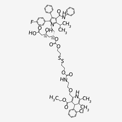 CCOC(=O)C1=C(COCCNC(=O)OCCSSCCOC(=O)O[C@@H](CCn2c(-c3ccc(F)cc3)c(-c3ccccc3)c(C(=O)Nc3ccccc3)c2C(C)C)C[C@H](O)CC(=O)O)NC(C)=C(C)C1c1ccccc1Cl